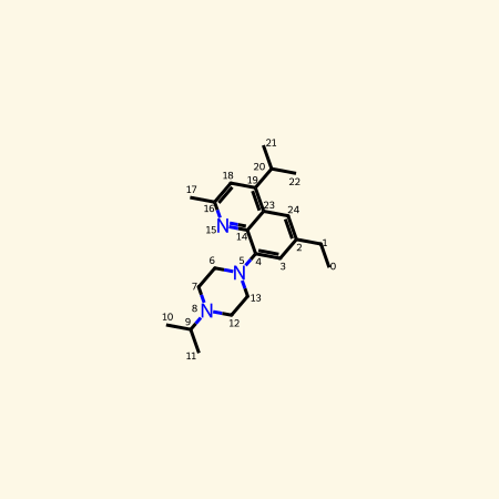 CCc1cc(N2CCN(C(C)C)CC2)c2nc(C)cc(C(C)C)c2c1